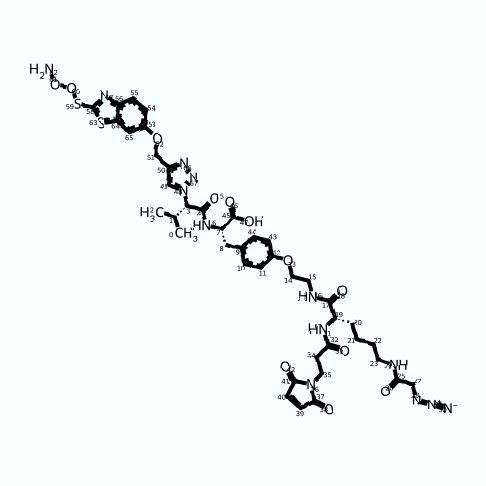 CC(C)[C@@H](C(=O)N[C@@H](Cc1ccc(OCCNC(=O)[C@H](CCCCNC(=O)CN=[N+]=[N-])NC(=O)CCN2C(=O)C=CC2=O)cc1)C(=O)O)n1cc(COc2ccc3nc(SOON)sc3c2)nn1